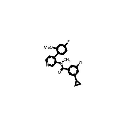 COc1cc(F)ccc1-c1ccncc1N(C)C(=O)c1cc(Cl)cc(C2CC2)c1